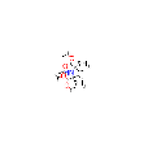 CCC([SiH3])(NC([SiH3])(CC)C(OC(C)C)OC(C)C)C(OC(C)C)OC(C)C